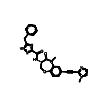 CN1C(=O)[C@@H](NC(=O)c2n[nH]c(Cc3ccccc3)n2)COc2ccc(C#Cc3nccn3C)cc21